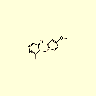 COc1ccc(CC2C(=O)C=CN=C2C)cc1